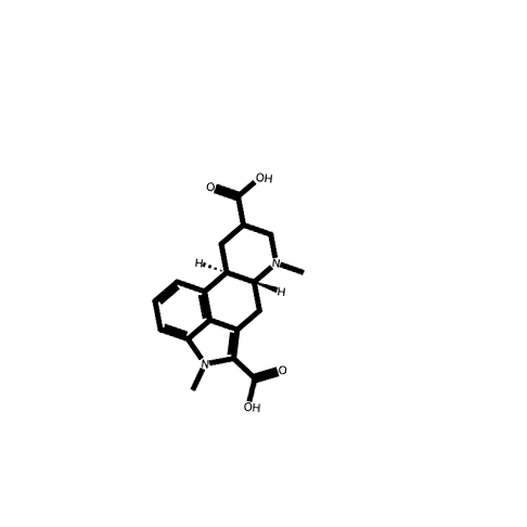 CN1CC(C(=O)O)C[C@@H]2c3cccc4c3c(c(C(=O)O)n4C)C[C@H]21